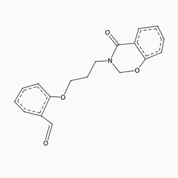 O=Cc1ccccc1OCCCN1COc2ccccc2C1=O